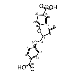 C=CCC(COc1ccc(C(=O)O)cc1)Oc1ccc(C(=O)O)cc1